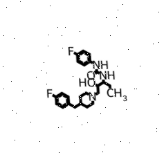 CCC(NC(=O)Nc1ccc(F)cc1)C(O)CN1CCC(Cc2ccc(F)cc2)CC1